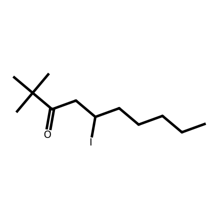 CCCCCC(I)CC(=O)C(C)(C)C